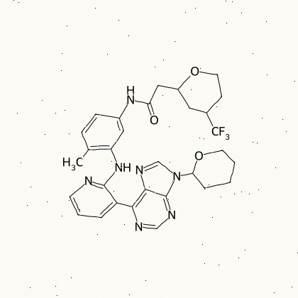 Cc1ccc(NC(=O)CC2CC(C(F)(F)F)CCO2)cc1Nc1ncccc1-c1ncnc2c1ncn2C1CCCCO1